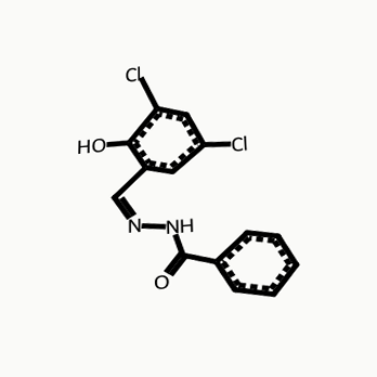 O=C(N/N=C\c1cc(Cl)cc(Cl)c1O)c1ccccc1